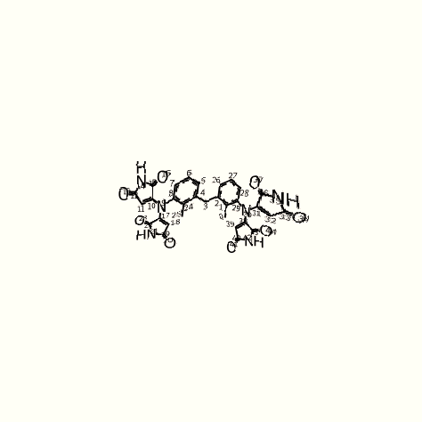 Cc1c(Cc2cccc(N(C3=CC(=O)NC3=O)C3=CC(=O)NC3=O)c2C)cccc1N(C1=CC(=O)NC1=O)C1=CC(=O)NC1=O